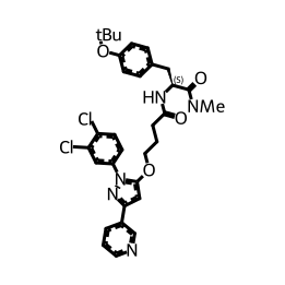 CNC(=O)[C@H](Cc1ccc(OC(C)(C)C)cc1)NC(=O)CCCOc1cc(-c2cccnc2)nn1-c1ccc(Cl)c(Cl)c1